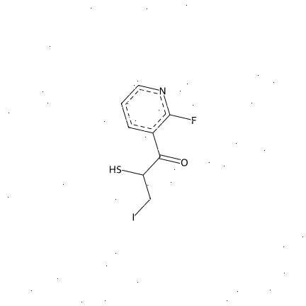 O=C(c1cccnc1F)C(S)CI